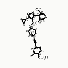 Cc1nc(C#CC23CCC(OCc4c(-c5c(Cl)cncc5Cl)noc4C4CC4)(CC2)CC3)ccc1C(=O)O